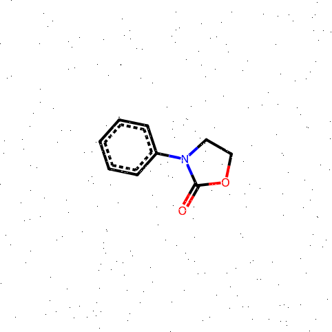 O=C1OCCN1c1c[c]ccc1